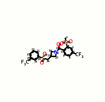 CS(=O)(=O)c1cc(C(F)(F)F)ccc1C(=O)N1CC(CS(=O)(=O)c2cccc(C(F)(F)F)c2)C1